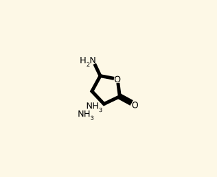 N.N.NC1CCC(=O)O1